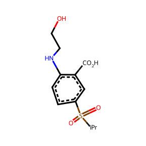 CC(C)S(=O)(=O)c1ccc(NCCO)c(C(=O)O)c1